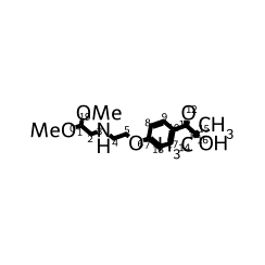 COC(CNCCOc1ccc(C(=O)C(C)(C)O)cc1)OC